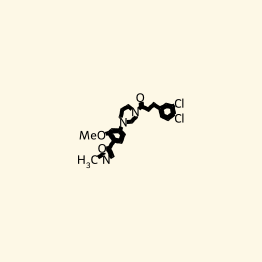 COc1cc(N2CCCN(C(=O)CCc3ccc(Cl)c(Cl)c3)CC2)ccc1-c1cnc(C)o1